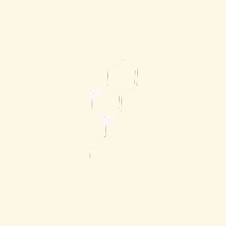 COC(=O)N1C=c2ccccc2=NC1